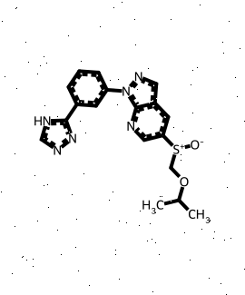 CC(C)OC[S+]([O-])c1cnc2c(cnn2-c2cccc(-c3nnc[nH]3)c2)c1